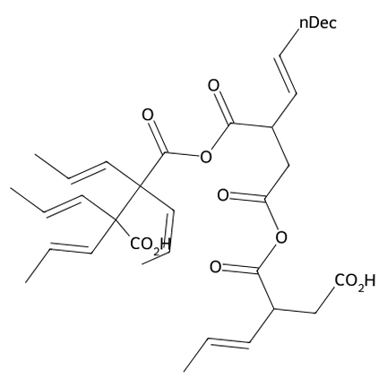 CC=CC(CC(=O)O)C(=O)OC(=O)CC(C=CCCCCCCCCCC)C(=O)OC(=O)C(C=CC)(C=CC)C(C=CC)(C=CC)C(=O)O